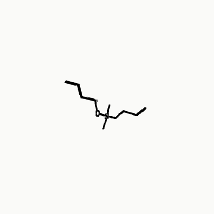 CCC[CH]O[Si](C)(C)CCCC